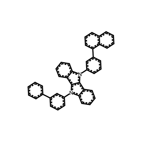 c1ccc(-c2cccc(-n3c4ccccc4c4c3c3ccccc3n4-c3cccc(-c4cccc5ccccc45)c3)c2)cc1